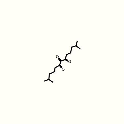 CC(C)CCCC(=O)C(=O)C(=O)CCCC(C)C